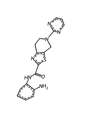 Nc1ccccc1NC(=O)c1nc2c(s1)CN(c1ncccn1)CC2